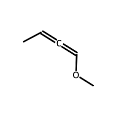 CC=C=COC